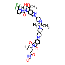 CC(CCC(=O)NC=O)N1C(=O)c2ccc(N3CCC4(CC3)CCN(C(C)(C)CN3CCC(n5cc6cc(NC(=O)c7cccc(C(F)(F)F)n7)c(C(C)(C)O)cc6n5)CC3)CC4)cc2C1=O